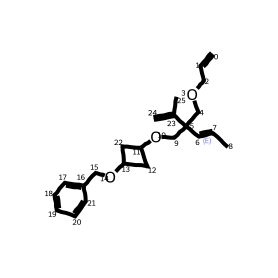 C=CCOCC(/C=C/C)(COC1CC(OCc2ccccc2)C1)C(=C)C